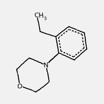 CCc1ccccc1N1CCOCC1